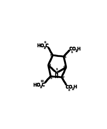 O=C(O)C1C2NC(C1C(=O)O)C(C(=O)O)C2C(=O)O